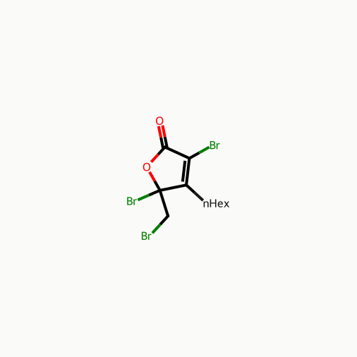 CCCCCCC1=C(Br)C(=O)OC1(Br)CBr